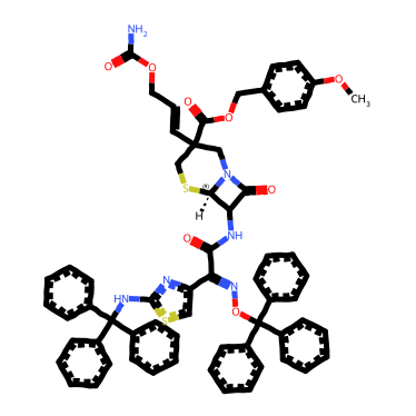 COc1ccc(COC(=O)C2(C=CCOC(N)=O)CS[C@@H]3C(NC(=O)C(=NOC(c4ccccc4)(c4ccccc4)c4ccccc4)c4csc(NC(c5ccccc5)(c5ccccc5)c5ccccc5)n4)C(=O)N3C2)cc1